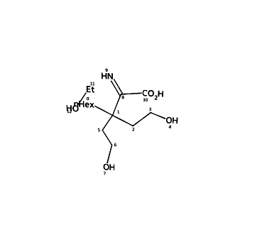 CCCCCCC(CCO)(CCO)C(=N)C(=O)O.CCO